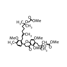 COC(=O)COC(C)(C)CCC/C(C)=C/Cc1c(C2CC(=O)c3c(cc(OC)c(CCC(C)(C)OCC(=O)OC)c3OC)O2)ccc(C)c1OC